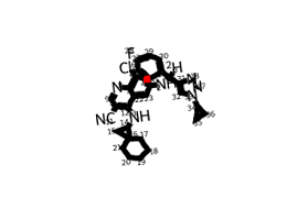 [2H]C(Nc1cc(Cl)c2ncc(C#N)c(NC3CC34CCCCC4)c2c1)(c1ccc(F)cc1)c1cn(C2CC2)nn1